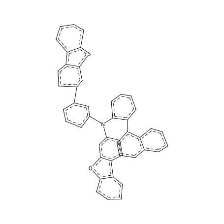 c1cc(-c2ccc3c(c2)sc2ccccc23)cc(N(c2ccc3c(c2)oc2ccccc23)c2ccccc2-c2cccc3ccccc23)c1